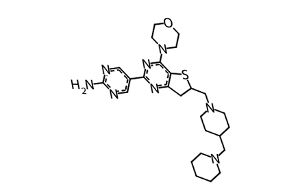 Nc1ncc(-c2nc3c(c(N4CCOCC4)n2)SC(CN2CCC(CN4CCCCC4)CC2)C3)cn1